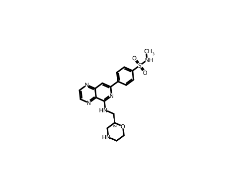 CNS(=O)(=O)c1ccc(-c2cc3nccnc3c(NC[C@@H]3CNCCO3)n2)cc1